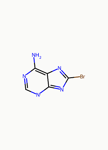 NC1=C2N=C(Br)N=C2[N]C=N1